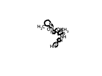 C=C1/C=C2/C(=O)N(c3nccc(-c4cc(Nc5ccc(N6CCNCC6)cn5)c(=O)n(C)c4)c3CO)CCN2CCCCC1